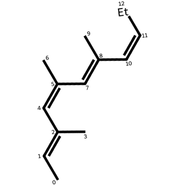 C/C=C(C)/C=C(C)\C=C(C)\C=C/CC